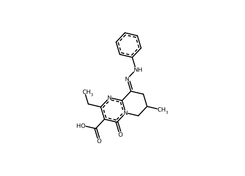 CCc1nc2n(c(=O)c1C(=O)O)CC(C)CC2=NNc1ccccc1